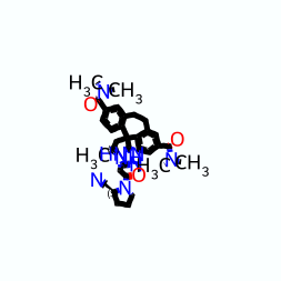 C[C@H](CC1(c2nnc[nH]2)c2ccc(C(=O)N(C)C)cc2CCc2cc(C(=O)N(C)C)ccc21)NCC(=O)N1CCC[C@H]1C#N